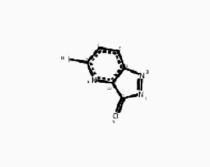 O=C1N=Nc2ccc(I)nc21